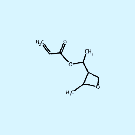 C=CC(=O)OC(C)C1COC1C